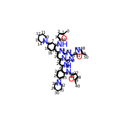 Cc1ccc(Nc2cc(N3CCCCC3)ccc2C2=CC3=CC(c4ccc(N5CCCCC5)cc4Nc4ccc(C)o4)=NC4=NC(c5ncc(C)o5)=NC(=N2)N34)o1